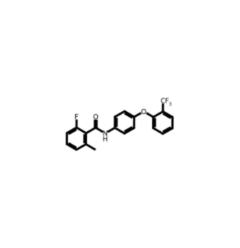 Cc1cccc(F)c1C(=O)Nc1ccc(Oc2ccccc2C(F)(F)F)cc1